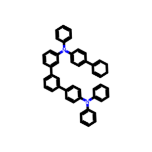 C1=CC(c2ccc(N(c3ccccc3)c3cccc(-c4cccc(-c5ccc(N(c6ccccc6)c6ccccc6)cc5)c4)c3)cc2)=CCC1